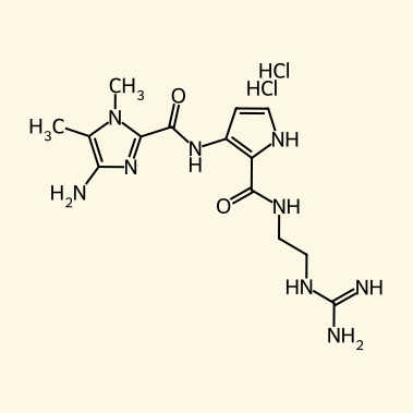 Cc1c(N)nc(C(=O)Nc2cc[nH]c2C(=O)NCCNC(=N)N)n1C.Cl.Cl